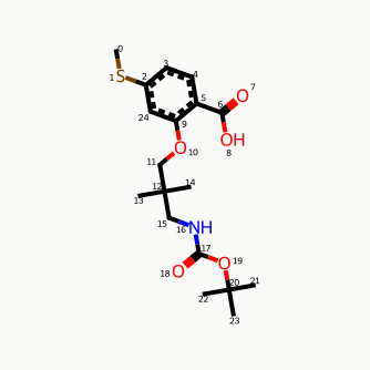 CSc1ccc(C(=O)O)c(OCC(C)(C)CNC(=O)OC(C)(C)C)c1